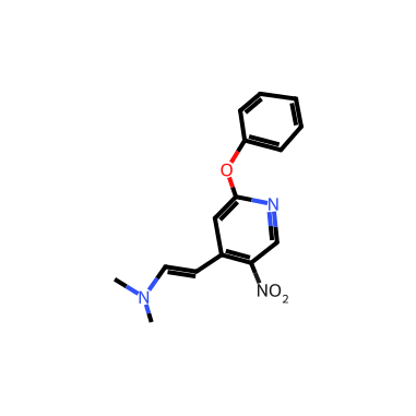 CN(C)/C=C/c1cc(Oc2ccccc2)ncc1[N+](=O)[O-]